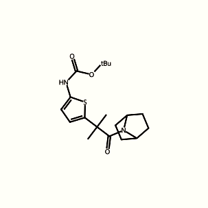 CC(C)(C)OC(=O)Nc1ccc(C(C)(C)C(=O)N2C3CCC2CC3)s1